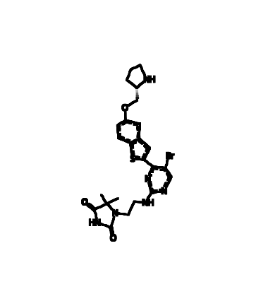 CC1(C)C(=O)NC(=O)N1CCNc1ncc(Br)c(-c2cc3cc(OC[C@@H]4CCCN4)ccc3s2)n1